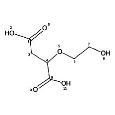 O=C(O)CC(OCCO)C(=O)O